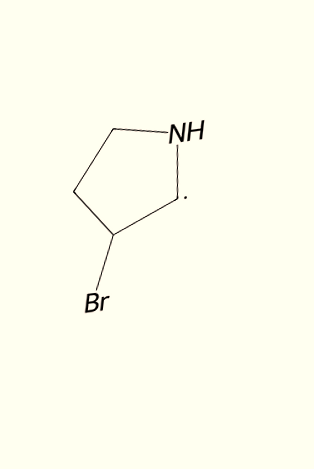 BrC1[CH]NCC1